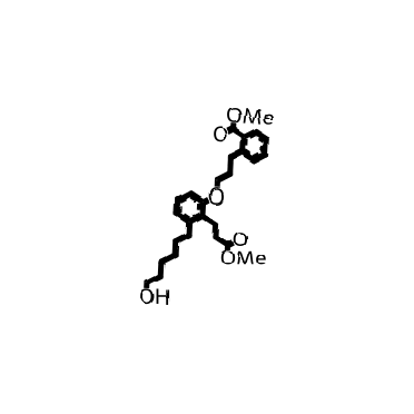 COC(=O)CCc1c(CCCCCCO)cccc1OCCCc1ccccc1C(=O)OC